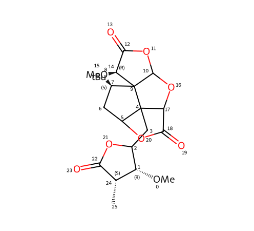 CO[C@H]1C(CC23C4C[C@@H](C(C)(C)C)C25C(OC(=O)[C@@H]5OC)OC3C(=O)O4)OC(=O)[C@H]1C